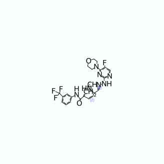 C=C(/C=C\C(/C=N/Nc1ncc(F)c(N2CCOCC2)n1)NC)C(=O)Nc1cccc(C(F)(F)F)c1